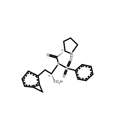 O=C(O)[C@H](Cc1cccc2c1C2)N(C(=O)[C@@H]1CCCN1)S(=O)(=O)c1ccccc1